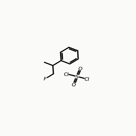 CC(CF)c1ccccc1.O=S(=O)(Cl)Cl